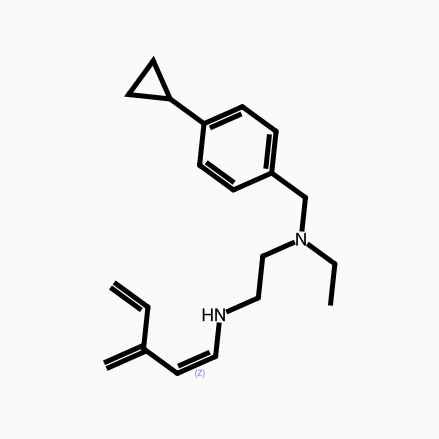 C=CC(=C)/C=C\NCCN(CC)Cc1ccc(C2CC2)cc1